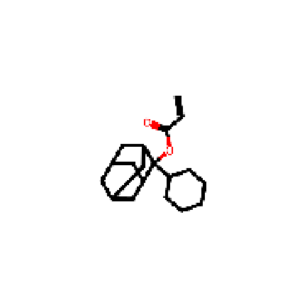 C=CC(=O)OC1(C2CCCCC2)C2CC3CC(C2)CC1C3